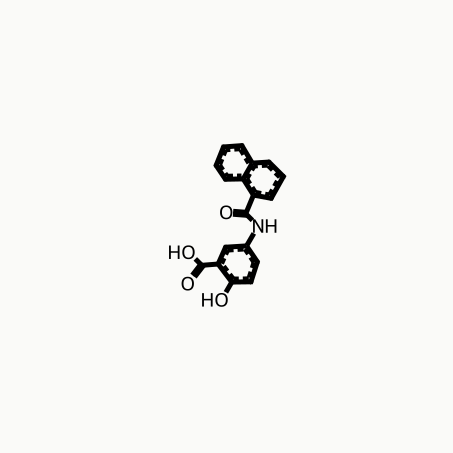 O=C(O)c1cc(NC(=O)c2cccc3ccccc23)ccc1O